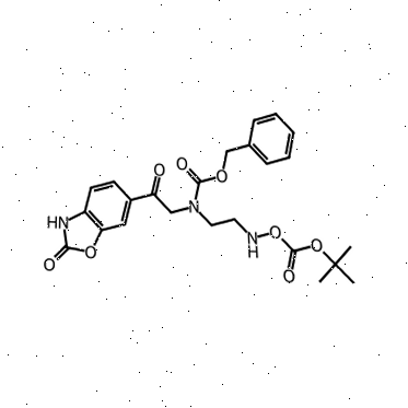 CC(C)(C)OC(=O)ONCCN(CC(=O)c1ccc2[nH]c(=O)oc2c1)C(=O)OCc1ccccc1